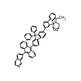 CCC1CC2CCC(C2)C12c1ccccc1-c1ccc(-c3ccc4c(c3)C(c3ccccc3)(c3ccccc3)c3cc(-c5c6ccccc6c(-c6ccc7ccncc7c6)c6ccccc56)ccc3-4)cc12